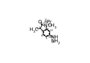 CCC[N+]1(C)C(=O)C(C)c2ccc(NN)cc21